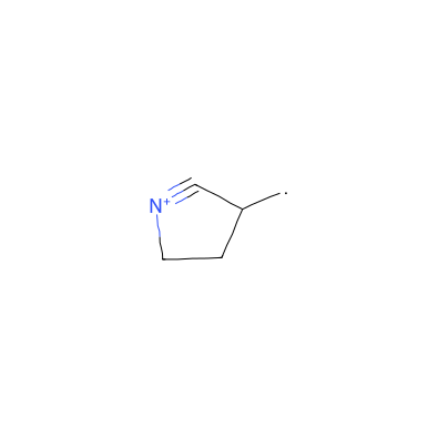 [CH2]C1C#[N+]CC1